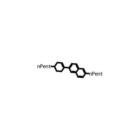 CCCCCc1ccc2cc(C3=CCC(CCCCC)CC3)ccc2c1